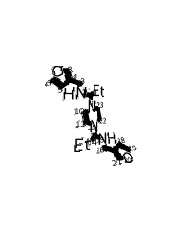 CCC(NCc1ccoc1)N1CCN(C(CC)NCc2ccoc2)CC1